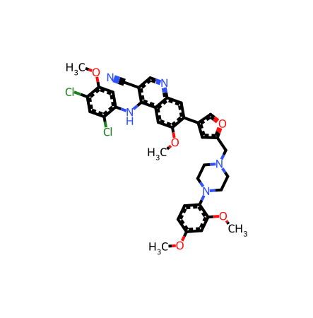 COc1ccc(N2CCN(Cc3cc(-c4cc5ncc(C#N)c(Nc6cc(OC)c(Cl)cc6Cl)c5cc4OC)co3)CC2)c(OC)c1